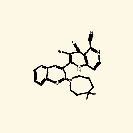 N#Cc1nccc2[nH]c(-c3cc4ccccc4nc3N3CCCC(F)(F)CC3)c(Br)c(=O)c12